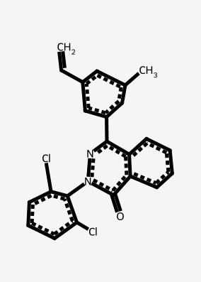 C=Cc1cc(C)cc(-c2nn(-c3c(Cl)cccc3Cl)c(=O)c3ccccc23)c1